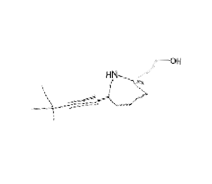 CC(C)(C)C#CC1CC[C@@H](CO)N1